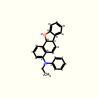 CCN(c1ccccc1)c1cccc2c1C=CC1c3ccccc3OC21